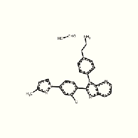 Cc1ccn(-c2ccc(-c3nc4cccnc4n3-c3ccc(CCN)cc3)c(Cl)c2)n1.O=CO